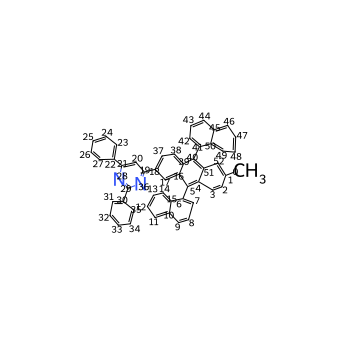 Cc1ccc2c(-c3cccc4ccccc34)c3cc(-c4cc(-c5ccccc5)nc(-c5ccccc5)n4)ccc3c(-c3cccc4ccccc34)c2c1